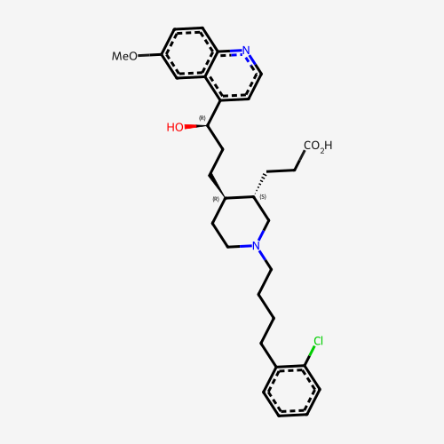 COc1ccc2nccc([C@H](O)CC[C@@H]3CCN(CCCCc4ccccc4Cl)C[C@H]3CCC(=O)O)c2c1